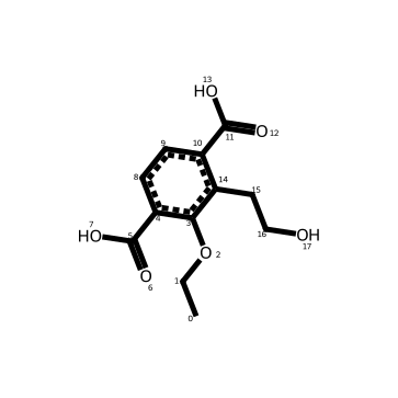 CCOc1c(C(=O)O)ccc(C(=O)O)c1CCO